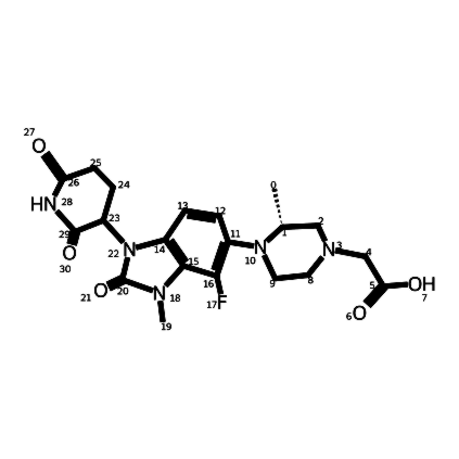 C[C@@H]1CN(CC(=O)O)CCN1c1ccc2c(c1F)n(C)c(=O)n2C1CCC(=O)NC1=O